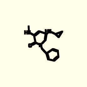 CNc1cc(NC2CC2)cn(Cc2ccccc2)c1=O